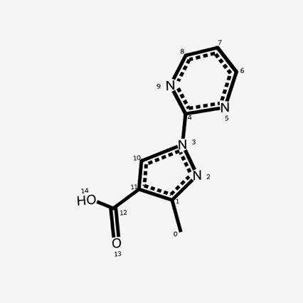 Cc1nn(-c2ncccn2)cc1C(=O)O